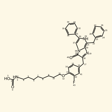 O=C(O)NCCCCCCCCOc1ccc(Cc2nc3c(Cc4ccccc4)[nH]c(-c4ccccc4)cn-3c2=O)cc1F